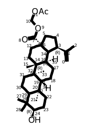 C=C(C)[C@@H]1CC[C@]2(C(=O)OCOC(C)=O)CC[C@]3(C)[C@H](CC[C@@H]4[C@@]5(C)CC[C@@H](O)C(C)(C)C5CC[C@]43C)C12